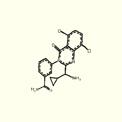 NC(=O)c1cccc(-n2c(C(N)C3CC3)nc3c(Cl)ccc(Cl)c3c2=O)c1